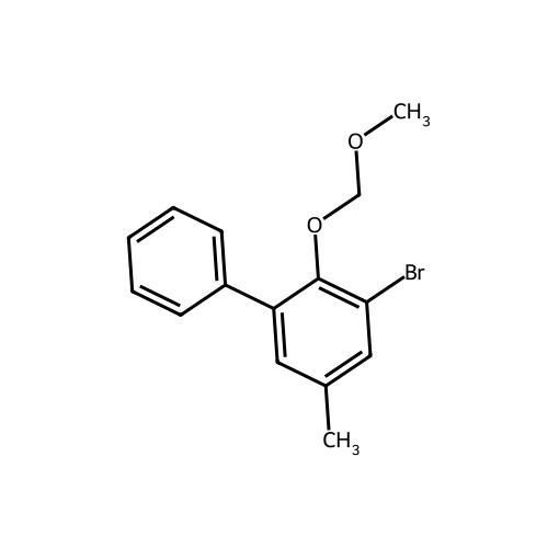 COCOc1c(Br)cc(C)cc1-c1ccccc1